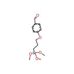 CO[Si](CCCOc1ccc(C=O)cc1)(OC)OC